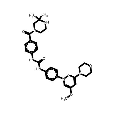 COC1=CN(c2ccc(NC(=O)Nc3ccc(C(=O)N4CCNC(C)(C)C4)cc3)cc2)SC(N2CCOCC2)=C1